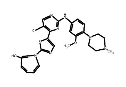 COc1cc(Nc2ncc(Cl)c(-c3cnc(N4C=CC=CC(O)=C4)s3)n2)ccc1N1CCN(C)CC1